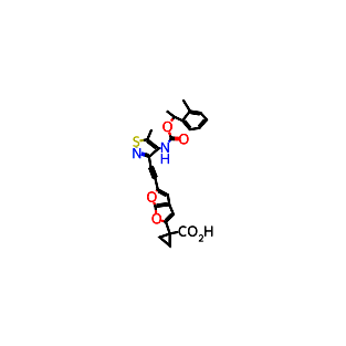 Cc1ccccc1C(C)OC(=O)Nc1c(C#Cc2cc3cc(C4(C(=O)O)CC4)oc3o2)nsc1C